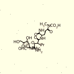 CC(=O)N[C@@H](C=O)[C@@H](OC(C(N)=O)C(C(=O)NC(CCC(=O)N(C)C(=O)O)C(N)=O)C(C)C)[C@H](O)[C@H](O)CO